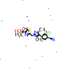 Cc1nn(Cc2nc(C(C)(C)O)cs2)c(C)c1-c1ccc(C#N)c(Cl)c1